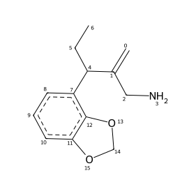 C=C(CN)C(CC)c1cccc2c1OCO2